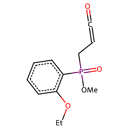 CCOc1ccccc1P(=O)(CC=C=O)OC